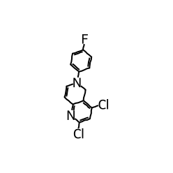 Fc1ccc(N2C=Cc3nc(Cl)cc(Cl)c3C2)cc1